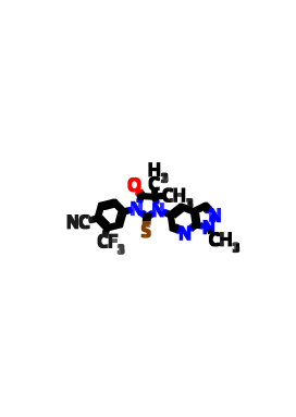 Cn1ncc2cc(N3C(=S)N(c4ccc(C#N)c(C(F)(F)F)c4)C(=O)C3(C)C)cnc21